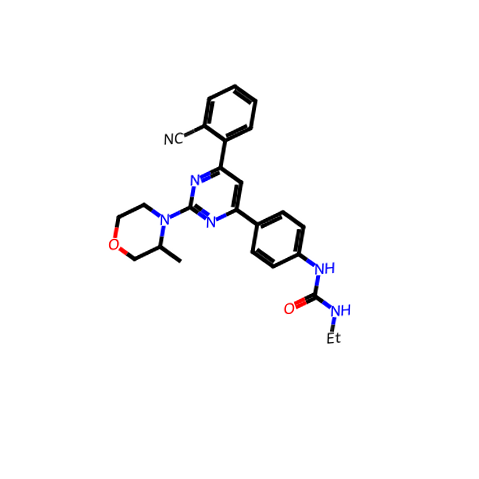 CCNC(=O)Nc1ccc(-c2cc(-c3ccccc3C#N)nc(N3CCOCC3C)n2)cc1